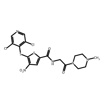 CN1CCN(C(=O)CNC(=O)c2cc([N+](=O)[O-])c(Sc3c(Cl)cncc3Cl)s2)CC1